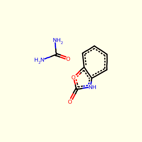 NC(N)=O.O=c1[nH]c2ccccc2o1